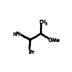 CCCC(C(C)C)C(C)OC